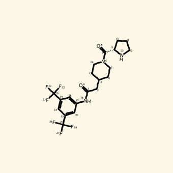 O=C(CC1CCN(C(=O)[C@@H]2CCCN2)CC1)Nc1cc(C(F)(F)F)cc(C(F)(F)F)c1